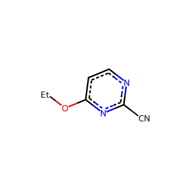 CCOc1ccnc(C#N)n1